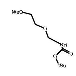 COCCOCNC(=O)OC(C)(C)C